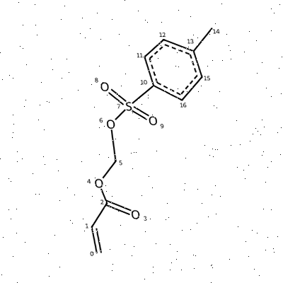 C=CC(=O)OCOS(=O)(=O)c1ccc(C)cc1